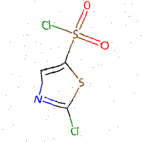 O=S(=O)(Cl)c1cnc(Cl)s1